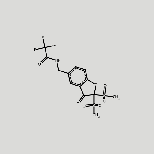 CS(=O)(=O)C1(S(C)(=O)=O)Oc2ccc(CNC(=O)C(F)(F)F)cc2C1=O